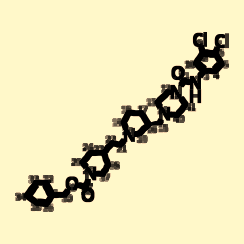 O=C(Nc1ccc(Cl)c(Cl)c1)N1CCN(C[C@@H]2CCCN(CCC3CCN(C(=O)OCc4ccccc4)CC3)C2)CC1